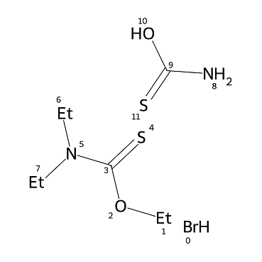 Br.CCOC(=S)N(CC)CC.NC(O)=S